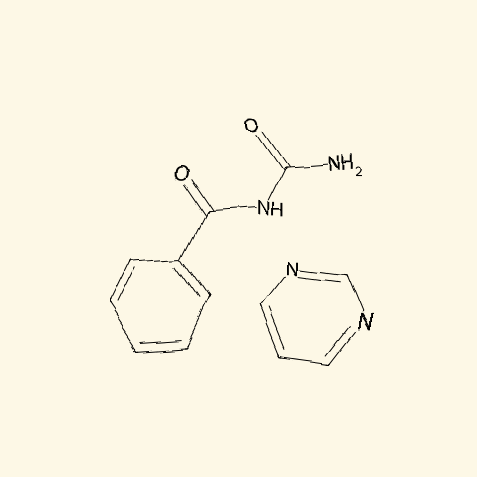 NC(=O)NC(=O)c1ccccc1.c1cncnc1